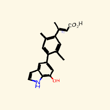 C/C(=C\C(=O)O)c1cc(C)c(-c2cc(O)c3[nH]ccc3c2)cc1C